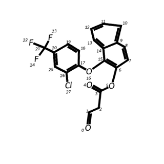 O=CCC(=O)Oc1ccc2ccccc2c1Oc1ccc(C(F)(F)F)cc1Cl